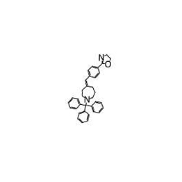 C(=C1CCCN(C(c2ccccc2)(c2ccccc2)c2ccccc2)CC1)c1ccc(C2=NCCO2)cc1